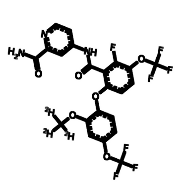 [2H]C([2H])([2H])Oc1cc(OC(F)(F)F)ccc1Oc1ccc(OC(F)(F)F)c(F)c1C(=O)Nc1ccnc(C(N)=O)c1